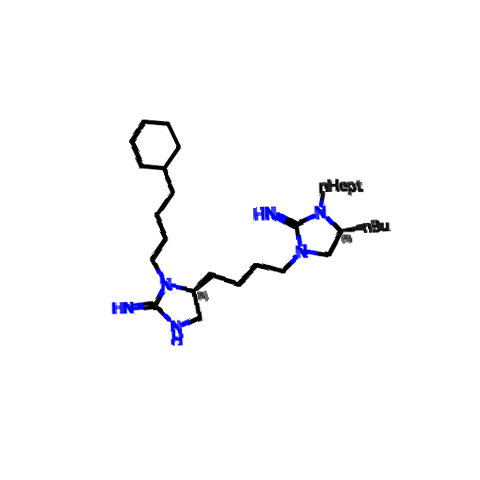 CCCCCCCN1C(=N)N(CCCC[C@H]2CNC(=N)N2CCCCC2CCCCC2)C[C@@H]1CCCC